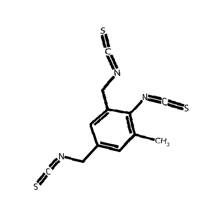 Cc1cc(CN=C=S)cc(CN=C=S)c1N=C=S